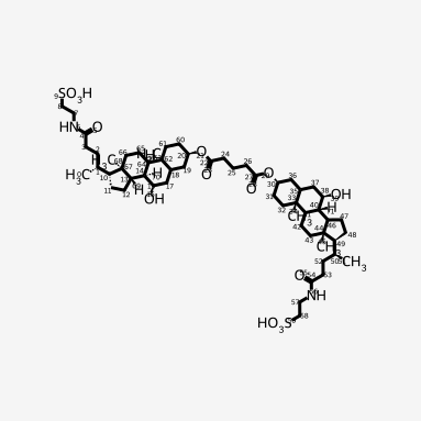 C[C@H](CCC(=O)NCCS(=O)(=O)O)[C@H]1CC[C@H]2[C@@H]3[C@H](O)CC4C[C@H](OC(=O)CCCC(=O)O[C@H]5CC[C@]6(C)C(C5)C[C@@H](O)[C@H]5C6CC[C@]6(C)C5CC[C@H]6[C@@H](C)CCC(=O)NCCS(=O)(=O)O)CC[C@]4(C)[C@H]3CC[C@]12C